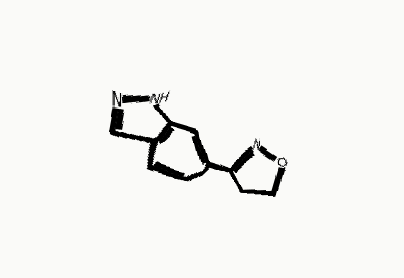 c1cc2cn[nH]c2cc1C1=NOCC1